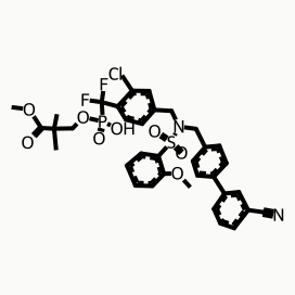 COC(=O)C(C)(C)COP(=O)(O)C(F)(F)c1ccc(CN(Cc2ccc(-c3cccc(C#N)c3)cc2)S(=O)(=O)c2ccccc2OC)cc1Cl